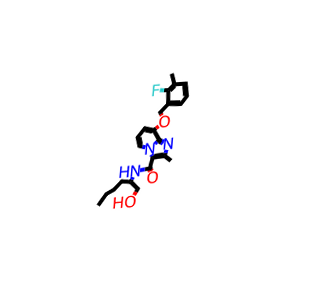 CCCCC(CO)NC(=O)c1c(C)nc2c(OCc3cccc(C)c3F)cccn12